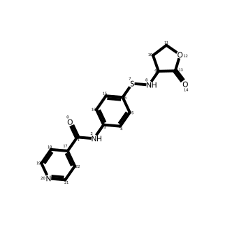 O=C(Nc1ccc(SNC2CCOC2=O)cc1)c1ccncc1